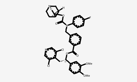 COc1ccc([C@H](Cc2c(Cl)cncc2Cl)OC(=O)c2cccc(CN(C(=O)O[C@H]3CN4CCC3CC4)c3ccc(F)cc3)c2)cc1OC